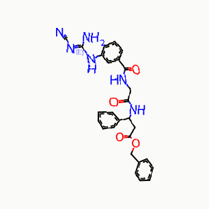 N#C/N=C(\N)Nc1cccc(C(=O)NCC(=O)NC(CC(=O)OCc2ccccc2)c2ccccc2)c1